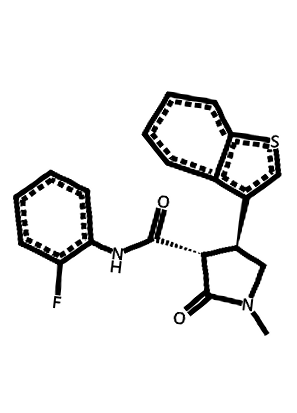 CN1C[C@H](c2csc3ccccc23)[C@@H](C(=O)Nc2ccccc2F)C1=O